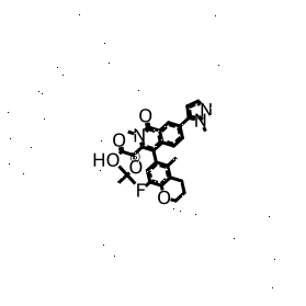 Cc1c(-c2c([C@H](OC(C)(C)C)C(=O)O)n(C)c(=O)c3cc(-c4ccnn4C)ccc23)cc(F)c2c1CCCO2